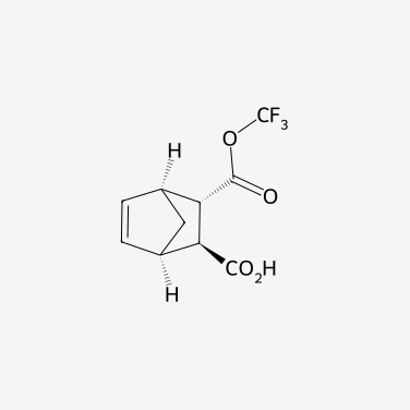 O=C(OC(F)(F)F)[C@@H]1[C@@H](C(=O)O)[C@H]2C=C[C@@H]1C2